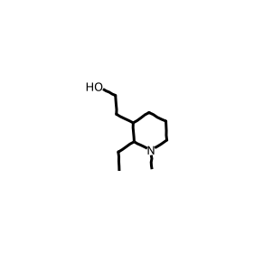 CCC1C(CCO)CCCN1C